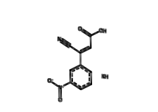 N#CC(=CC(=O)O)c1cccc([N+](=O)[O-])c1.[KH]